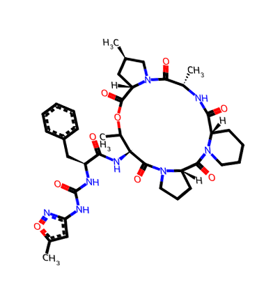 Cc1cc(NC(=O)N[C@@H](Cc2ccccc2)C(=O)N[C@@H]2C(=O)N3CCC[C@H]3C(=O)N3CCCC[C@H]3C(=O)N[C@@H](C)C(=O)N3C[C@H](C)C[C@H]3C(=O)OC2C)no1